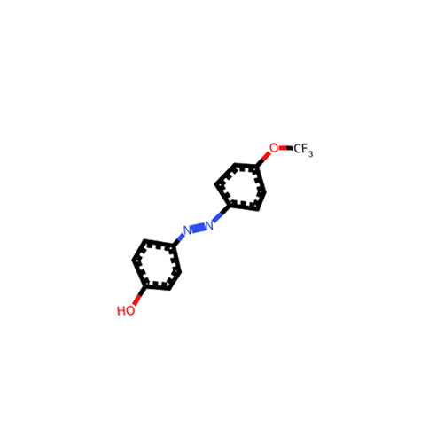 Oc1ccc(N=Nc2ccc(OC(F)(F)F)cc2)cc1